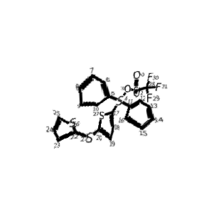 O=S(=O)(OS(c1ccccc1)(c1ccccc1)c1ccc(Sc2cccs2)s1)C(F)(F)F